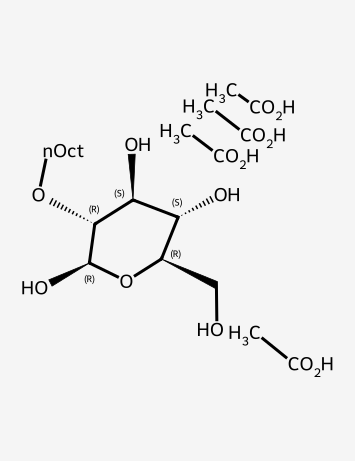 CC(=O)O.CC(=O)O.CC(=O)O.CC(=O)O.CCCCCCCCO[C@@H]1[C@@H](O)[C@H](O)[C@@H](CO)O[C@H]1O